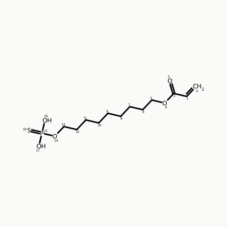 C=CC(=O)OCCCCCCCCCOP(O)(O)=S